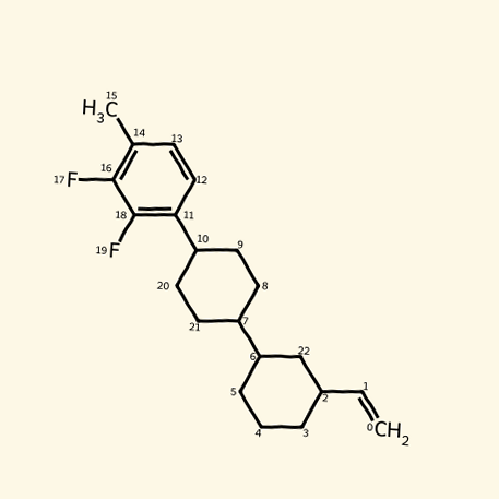 C=CC1CCCC(C2CCC(c3ccc(C)c(F)c3F)CC2)C1